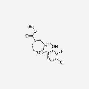 CC(C)(C)OC(=O)N1CCO[C@@H](c2ccc(Cl)c(F)c2)[C@@H](CO)C1